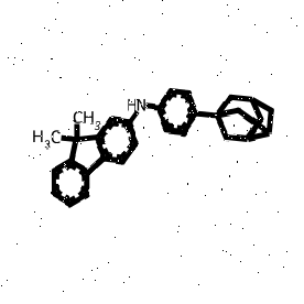 CC1(C)c2ccccc2-c2ccc(Nc3ccc(C45CC6CC(C4)C(C6)C5)cc3)cc21